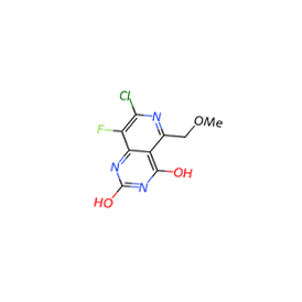 COCc1nc(Cl)c(F)c2nc(O)nc(O)c12